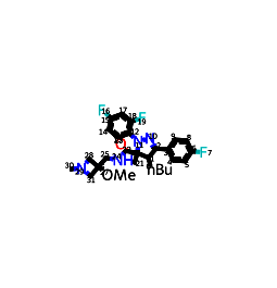 CCCCC1C(c2ccc(F)cc2)=NN(c2ccc(F)cc2F)C1(C)C(=O)NCC1(OC)CN(C)C1